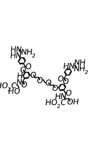 N=C(N)Nc1ccc(C(=O)Oc2cc(OCCOCCOCCOc3cc(OC(=O)c4ccc(NC(=N)N)cc4)cc(C(=O)NC(CO)C(=O)O)c3)cc(C(=O)NC(CO)C(=O)O)c2)cc1